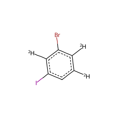 [2H]c1cc(I)c([2H])c(Br)c1[2H]